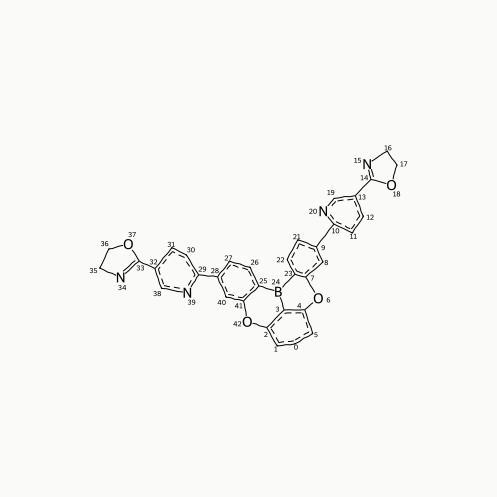 c1cc2c3c(c1)Oc1cc(-c4ccc(C5=NCCO5)cn4)ccc1B3c1ccc(-c3ccc(C4=NCCO4)cn3)cc1O2